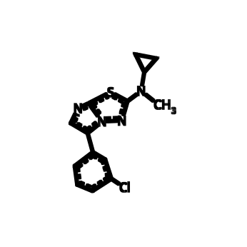 CN(c1nn2c(-c3cccc(Cl)c3)cnc2s1)C1CC1